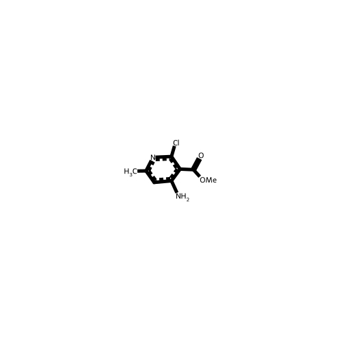 COC(=O)c1c(N)cc(C)nc1Cl